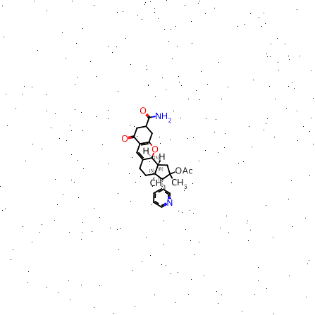 CC(=O)OC1(C)C[C@H]2[C@@H]3OC4=C(C=C3CC[C@]2(C)[C@H]1c1cccnc1)C(=O)CC(C(N)=O)C4